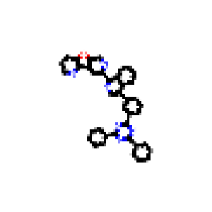 c1ccc(-c2nc(-c3ccccc3)nc(-c3cccc(-c4cnc(-c5cc6c(cn5)oc5cccnc56)c5ccccc45)c3)n2)cc1